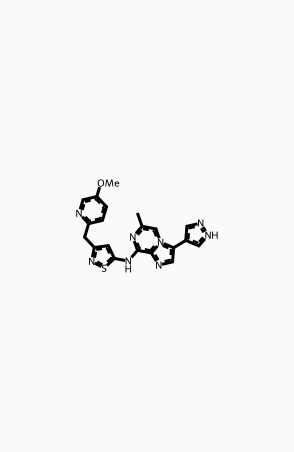 COc1ccc(Cc2cc(Nc3nc(C)cn4c(-c5cn[nH]c5)cnc34)sn2)nc1